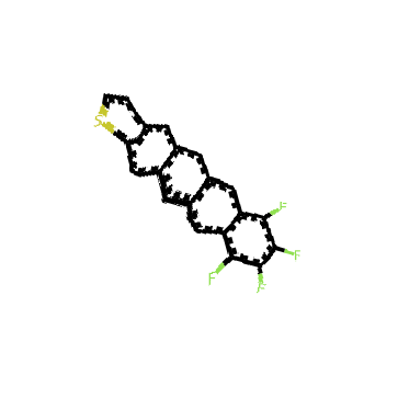 Fc1c(F)c(F)c2cc3cc4cc5sccc5cc4cc3cc2c1F